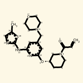 C=CC(=O)N1CCC[C@H](Oc2cc(CN3CCOCC3)cc(Nc3ncc(C)s3)n2)C1